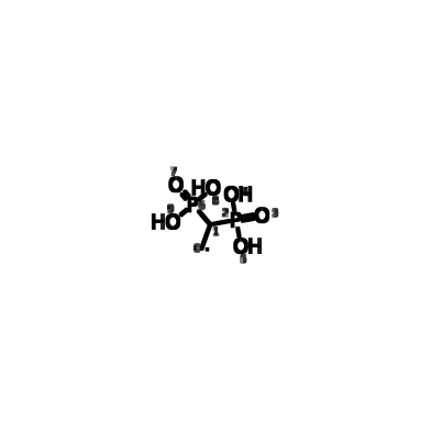 [CH2]C(P(=O)(O)O)P(=O)(O)O